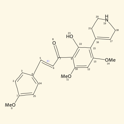 COc1ccc(/C=C/C(=O)c2c(OC)cc(OC)c(C3=CCNCC3)c2O)cc1